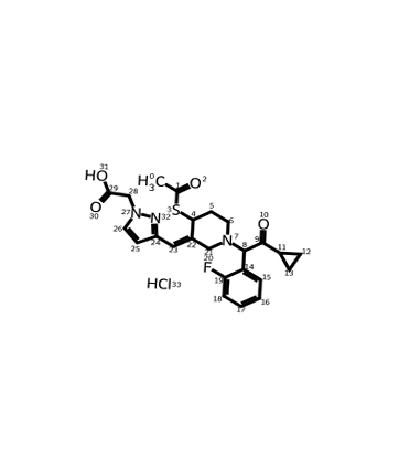 CC(=O)SC1CCN(C(C(=O)C2CC2)c2ccccc2F)CC1=Cc1ccn(CC(=O)O)n1.Cl